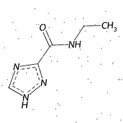 CCNC(=O)c1nc[nH]n1